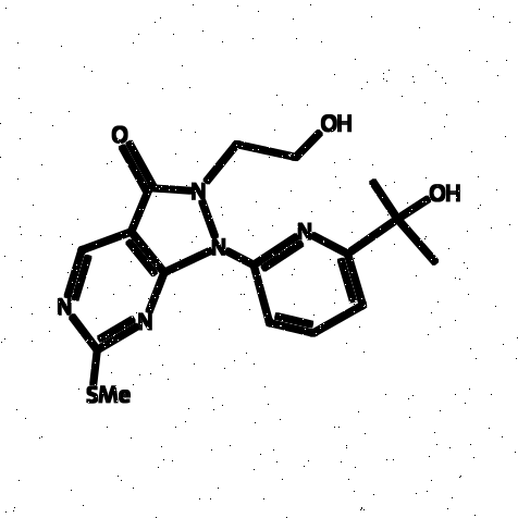 CSc1ncc2c(=O)n(CCO)n(-c3cccc(C(C)(C)O)n3)c2n1